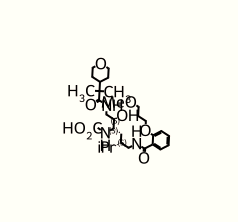 COCCCOc1ccccc1C(=O)NC[C@@H](C[C@H](NC(=O)O)[C@@H](O)CNC(=O)C(C)(C)C1CCOCC1)C(C)C